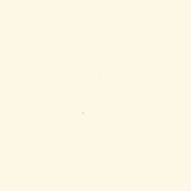 O=C(c1ccccc1Cl)N1CC2(CCN(CC3CC3)CC2)c2cc(F)ccc21